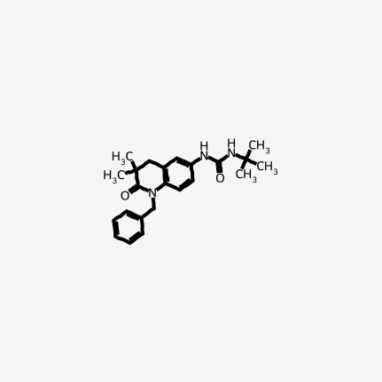 CC(C)(C)NC(=O)Nc1ccc2c(c1)CC(C)(C)C(=O)N2Cc1ccccc1